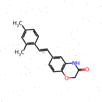 Cc1ccc(/C=C/c2ccc3c(c2)NC(=O)CO3)c(C)c1